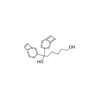 OCCCCCC(O)(c1ccc2c(c1)C=C2)c1ccc2c(c1)=CC=2